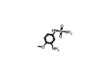 COc1ccc(NS(N)(=O)=O)cc1N